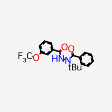 CC(C)(C)N(NC(=O)c1cccc(OC(F)(F)F)c1)C(=O)c1ccccc1